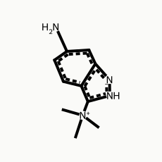 C[N+](C)(C)c1[nH]nc2cc(N)ccc12